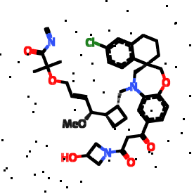 C=NC(=O)C(C)(C)OC/C=C/[C@H](OC)[C@@H]1CC[C@H]1CN1C[C@@]2(CCCc3cc(Cl)ccc32)COc2ccc(C(=O)CC(=O)N3CC(O)C3)cc21